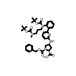 CN(CCCN(C(=O)OC(C)(C)C)c1ccccc1-c1cccc(N[C@H]2C[C@@H](C(=O)O)N(C(=O)OCc3ccccc3)C2)n1)C(=O)OC(C)(C)C